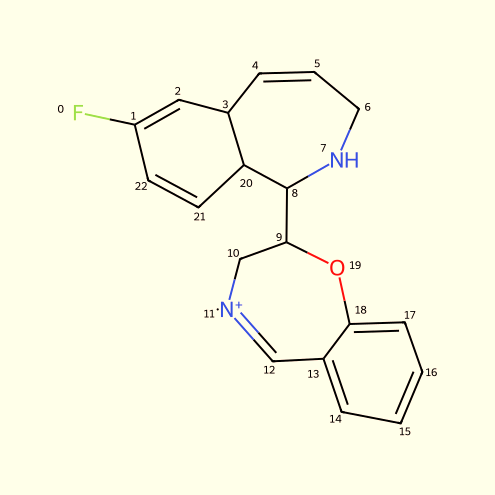 FC1=CC2C=CCNC(C3C[N+]=Cc4ccccc4O3)C2C=C1